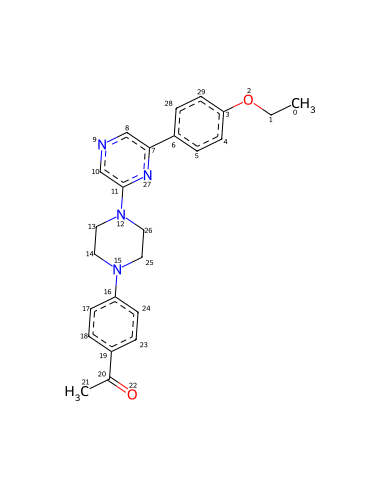 CCOc1ccc(-c2cncc(N3CCN(c4ccc(C(C)=O)cc4)CC3)n2)cc1